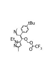 CCn1nc(C)cc1/C(OCOC(=O)C(F)(F)F)=C(\C=N/C)c1ccc(C(C)(C)C)cc1